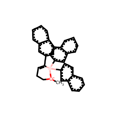 C[O+]1CCC=C(c2ccc3ccccc3c2)[B-]1(c1ccc2ccccc2c1)c1ccc2ccccc2c1